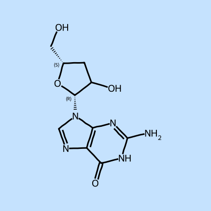 Nc1nc2c(ncn2[C@@H]2O[C@H](CO)CC2O)c(=O)[nH]1